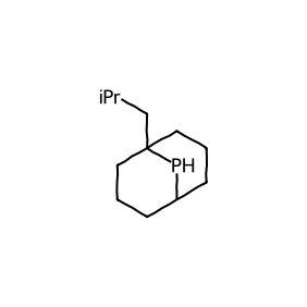 CC(C)CC12CCCC(CCC1)P2